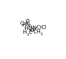 COC(C)N(CC(O)CNC(=O)c1ccccc1)c1ccc(Cl)cc1